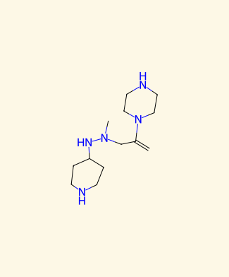 C=C(CN(C)NC1CCNCC1)N1CCNCC1